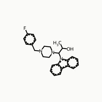 CC(O)C(N1CCN(Cc2ccc(F)cc2)CC1)n1c2ccccc2c2ccccc21